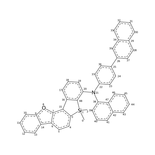 C[Si]1(C)c2ccc3c(oc4ccccc43)c2-c2cccc(N(c3ccc(-c4ccc5ccccc5c4)cc3)c3cccc4ccccc34)c21